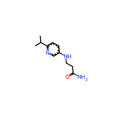 CC(C)c1ccc(NCCC(N)=O)cn1